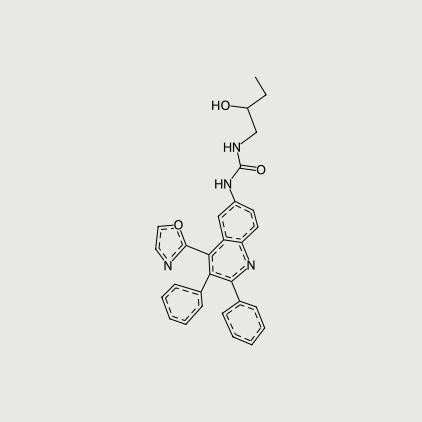 CCC(O)CNC(=O)Nc1ccc2nc(-c3ccccc3)c(-c3ccccc3)c(-c3ncco3)c2c1